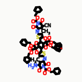 CC1=C(N)C(=O)N(C(=O)OCc2ccccc2)C(=O)/C1=N/c1cc2c(s1)-c1cc3c(cc1C(C(=O)OCc1ccccc1)(C(=O)OCc1ccccc1)O2)-c1sc(/N=C2/C(=O)N(C(=O)OCc4ccccc4)C(=O)C(C#N)=C2C)cc1OC3(C(=O)OCc1ccccc1)C(=O)OCc1ccccc1